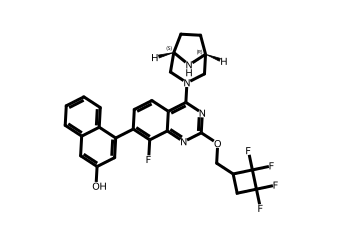 Oc1cc(-c2ccc3c(N4C[C@H]5CC[C@@H](C4)N5)nc(OCC4CC(F)(F)C4(F)F)nc3c2F)c2ccccc2c1